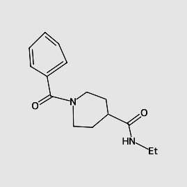 CCNC(=O)C1CCN(C(=O)c2ccccc2)CC1